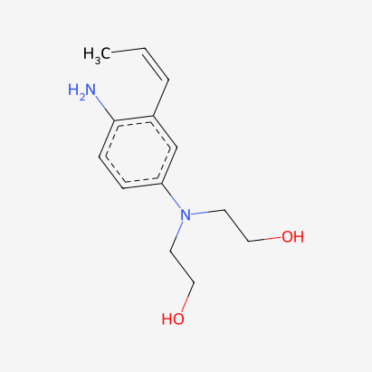 C/C=C\c1cc(N(CCO)CCO)ccc1N